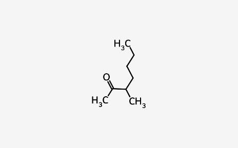 CCCCC(C)C(C)=O